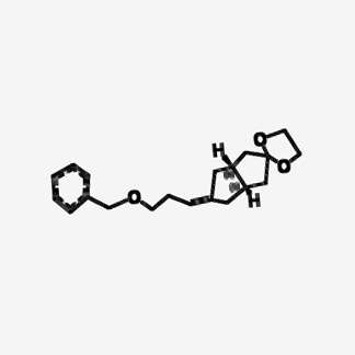 C(CCOCc1ccccc1)=C1C[C@@H]2CC3(C[C@@H]2C1)OCCO3